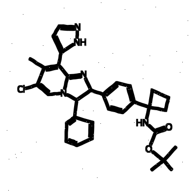 CC1=C(c2ccn[nH]2)C2=NC(c3ccc(C4(NC(=O)OC(C)(C)C)CCC4)cc3)C(c3ccccc3)N2C=C1Cl